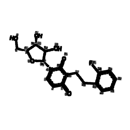 O=c1ccn([C@@H]2O[C@H](CO)[C@H](O)C2O)c(=O)n1CCc1ccccc1F